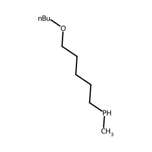 CCCCOCCCCCPC